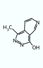 Cc1nnc(O)c2cnccc12